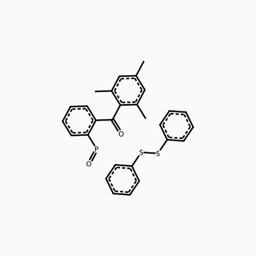 Cc1cc(C)c(C(=O)c2ccccc2P=O)c(C)c1.c1ccc(SSc2ccccc2)cc1